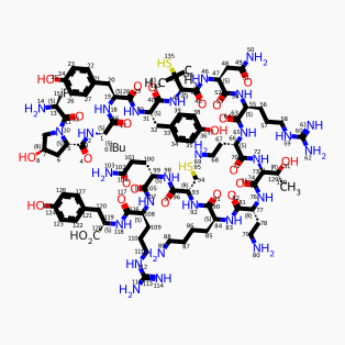 CC[C@H](C)[C@H](NC(=O)[C@@H]1C[C@@H](O)CN1C(=O)[C@@H](N)C(C)C)C(=O)N[C@@H](Cc1ccc(O)cc1)C(=O)N[C@@H](Cc1ccc(O)cc1)C(=O)N[C@H](C(=O)N[C@@H](CC(N)=O)C(=O)N[C@@H](CCCNC(=N)N)C(=O)N[C@@H](CCN)C(=O)N[C@H](C(=O)N[C@H](CCN)C(=O)N[C@@H](CCCCN)C(=O)N[C@@H](CS)C(=O)N[C@@H](CCC(N)=O)C(=O)N[C@@H](CCCNC(=N)N)C(=O)N[C@@H](Cc1ccc(O)cc1)C(=O)O)[C@@H](C)O)C(C)(C)S